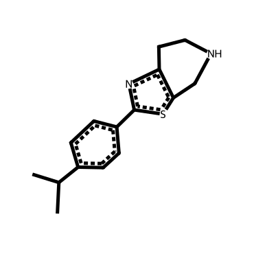 CC(C)c1ccc(-c2nc3c(s2)CNCC3)cc1